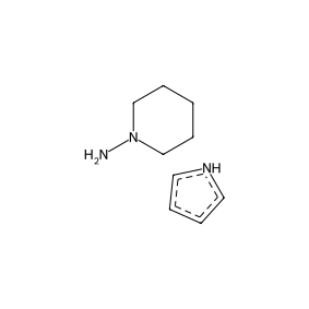 NN1CCCCC1.c1cc[nH]c1